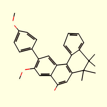 COc1ccc(-c2cc3c4c(cc(O)c3cc2OC)C(C)(C)C(C)(C)c2ccccc2-4)cc1